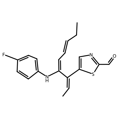 C\C=C(/C(=C\C=C\CC)Nc1ccc(F)cc1)c1cnc(C=O)s1